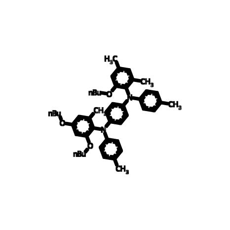 CCCCOc1cc(C)c(N(c2ccc(C)cc2)c2ccc(N(c3ccc(C)cc3)c3c(C)cc(C)cc3OCCCC)cc2)c(OCCCC)c1